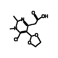 CC1N=C(CC(=O)O)C(C2OCCO2)=C(Cl)N1C